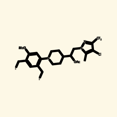 COc1cc(N2CCC(C(Cn3nc(C(F)(F)F)c(Cl)c3C)OC(C)=O)CC2)c(CI)cc1CI